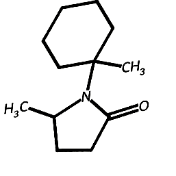 CC1CCC(=O)N1C1(C)CCCCC1